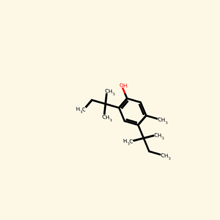 CCC(C)(C)c1cc(C(C)(C)CC)c(O)cc1C